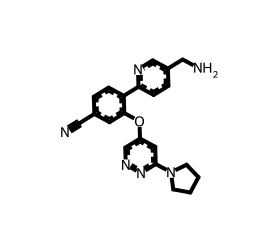 N#Cc1ccc(-c2ccc(CN)cn2)c(Oc2cnnc(N3CCCC3)c2)c1